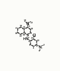 CN(C)c1ccc(Nc2ccc(N(C)C)c3ccccc23)c(Cl)c1